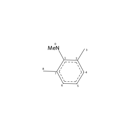 [CH2]Nc1c(C)cccc1C